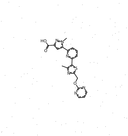 Cc1nc(COc2ncccn2)sc1-c1cccc(-c2cc(C(=O)O)nn2C)n1